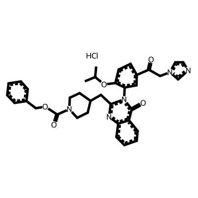 CC(C)Oc1ccc(C(=O)Cn2ccnc2)cc1-n1c(CC2CCN(C(=O)OCc3ccccc3)CC2)nc2ccccc2c1=O.Cl